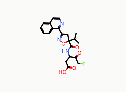 CC(C)C1(C(=O)NC(CC(=O)O)C(=O)CF)CC(c2nccc3ccccc23)=NO1